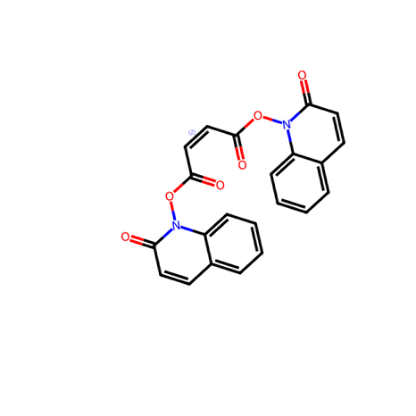 O=C(/C=C\C(=O)On1c(=O)ccc2ccccc21)On1c(=O)ccc2ccccc21